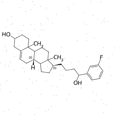 CC12CCC(O)CC1=CC[C@@H]1C2CCC2(C)C1CC[C@@H]2CCCC(O)c1cccc(F)c1